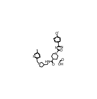 COc1ccc(-c2noc(N3CCC(C(=O)NCC4CCN(Cc5ccc(C)cn5)C4)CC3)n2)cc1.O=CO